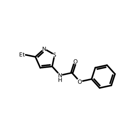 CCc1cc(NC(=O)Oc2ccccc2)sn1